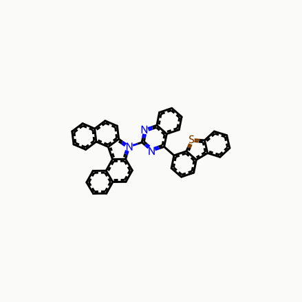 c1ccc2c(c1)ccc1c2c2c3ccccc3ccc2n1-c1nc(-c2cccc3c2sc2ccccc23)c2ccccc2n1